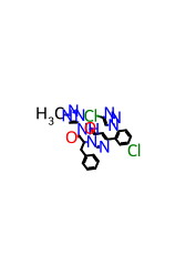 Cn1cc(NC(=O)C(Cc2ccccc2)n2cnc(-c3cc(Cl)ccc3-n3cc(Cl)nn3)cc2=O)nn1